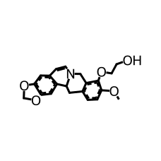 COc1ccc2c(c1OCCO)CN1C=Cc3cc4c(cc3C1C2)OCO4